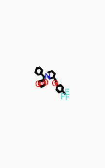 FC(F)(F)c1ccc(OCC2CCCN(C(C3=CC=CCC3)C3=COC=CO3)C2)cc1